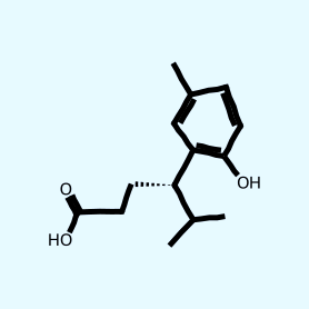 Cc1ccc(O)c([C@@H](CCC(=O)O)C(C)C)c1